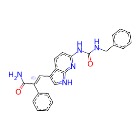 NC(=O)/C(=C/c1c[nH]c2nc(NC(=O)NCc3ccccc3)ccc12)c1ccccc1